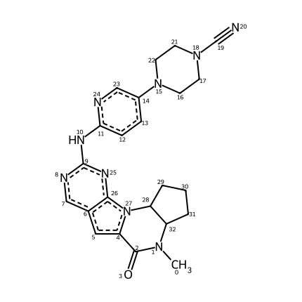 CN1C(=O)c2cc3cnc(Nc4ccc(N5CCN(C#N)CC5)cn4)nc3n2C2CCCC21